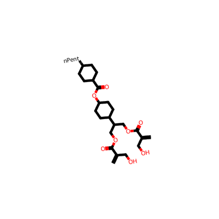 C=C(CO)C(=O)OCC(COC(=O)C(=C)CO)C1CCC(OC(=O)C2CCC(CCCCC)CC2)CC1